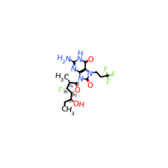 CC[C@H](O)[C@H]1O[C@@H](n2c(=O)n(CCC(F)(F)F)c3c(=O)[nH]c(N)nc32)[C@H](C)[C@H]1F